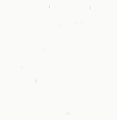 C=CC(C)(C)OCCCC(C)(C(C)=O)c1cccc(Br)c1